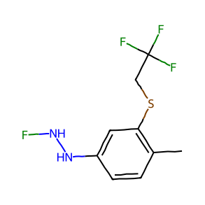 Cc1ccc(NNF)cc1SCC(F)(F)F